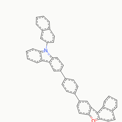 c1ccc2cc(-n3c4ccccc4c4cc(-c5ccc(-c6ccc7oc8ccc9ccccc9c8c7c6)cc5)ccc43)ccc2c1